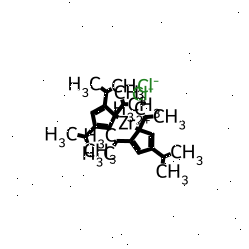 CC(C)C1=C[C]([Zr+2][C]2(C(C)C)C=C(C(C)C)C=C2C(C)C)(C(C)C)C(C(C)C)=C1.[Cl-].[Cl-]